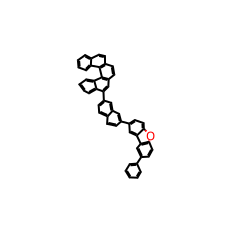 c1ccc(-c2ccc3oc4ccc(-c5ccc6ccc(-c7cc8ccc9ccc%10ccccc%10c9c8c8ccccc78)cc6c5)cc4c3c2)cc1